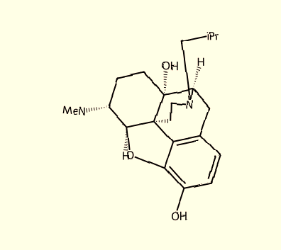 CN[C@@H]1CC[C@@]2(O)[C@H]3Cc4ccc(O)c5c4[C@@]2(CCN3CC(C)C)[C@H]1O5